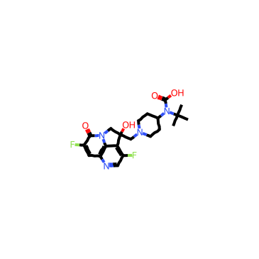 CC(C)(C)N(C(=O)O)C1CCN(CC2(O)Cn3c(=O)c(F)cc4ncc(F)c2c43)CC1